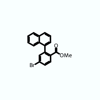 COC(=O)c1ccc(Br)cc1-c1cccc2ccccc12